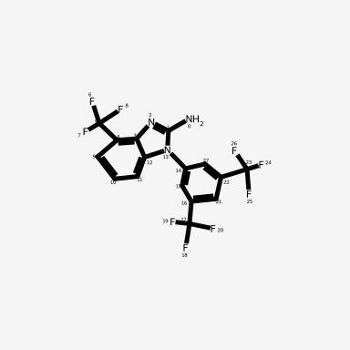 Nc1nc2c(C(F)(F)F)cccc2n1-c1cc(C(F)(F)F)cc(C(F)(F)F)c1